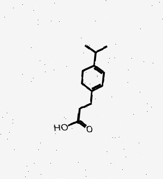 CC(C)C1=CC=C(CCC(=O)O)CC1